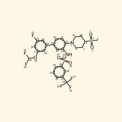 CS(=O)(=O)C1CCN(c2ccc(-c3cc(F)cc(OC(F)F)c3)cc2NS(=O)(=O)c2cccc(C(F)(F)F)c2)CC1